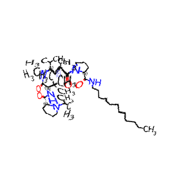 CCCCCCCCCCCCNC(=O)[C@@H]1CCCN1C(=O)/C(C)=C/[C@H](C(C)C)N(C)C(=O)[C@@H](NC(=O)[C@H]1CCCCN1C(C)C)C(C)(C)C